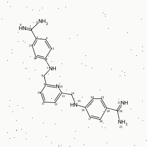 N=C(N)c1ccc(NCc2cccc(CNc3ccc(C(=N)N)cc3)n2)cc1